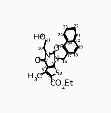 CCOC(=O)c1sc2c(c1C)c(=O)n(CCO)c(=O)n2Cc1ccc2ccccc2c1